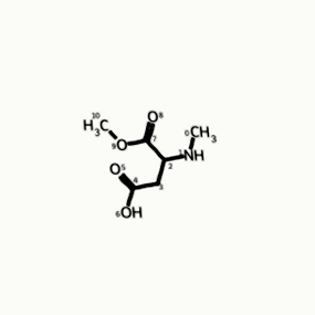 CNC(CC(=O)O)C(=O)OC